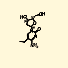 CCc1cn([C@H]2C[C@@H](O)[C@H](CO)O2)c(=O)nc1N